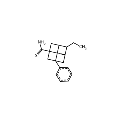 CCC1C2CC3(C(N)=S)CC4(c5ccccc5)CC1[C@]234